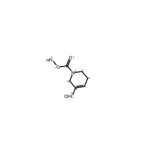 CCCOC(=O)N1CCC=C(C=O)C1